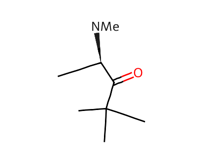 CN[C@H](C)C(=O)C(C)(C)C